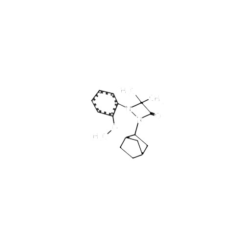 COc1ccccc1N1N(C2CC3CCC2C3)C(=O)C1(C)C